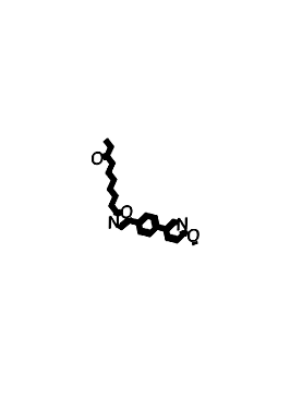 CCC(=O)CCCCCCc1ncc(-c2ccc(-c3ccc(OC)nc3)cc2)o1